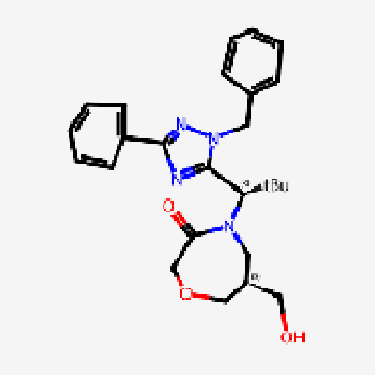 CC(C)(C)[C@H](c1nc(-c2ccccc2)nn1Cc1ccccc1)N1C[C@@H](CO)COCC1=O